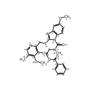 COc1ccc2c(c1)nc(SCc1ncc(C)c(OC)c1C)n2C(=O)N(C)CCOC(=O)c1ccccc1